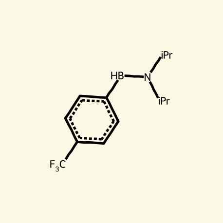 CC(C)N(Bc1ccc(C(F)(F)F)cc1)C(C)C